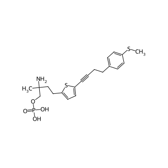 CSc1ccc(CCC#Cc2ccc(CCC(C)(N)COP(=O)(O)O)s2)cc1